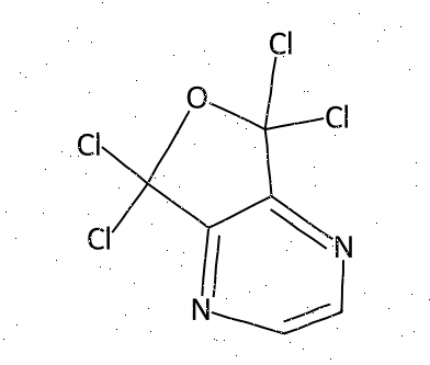 ClC1(Cl)OC(Cl)(Cl)c2nccnc21